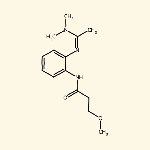 COCCC(=O)Nc1ccccc1N=C(C)N(C)C